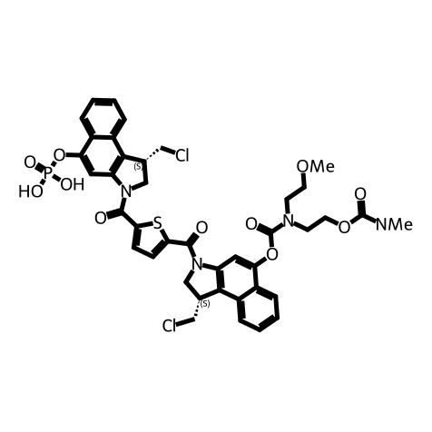 CNC(=O)OCCN(CCOC)C(=O)Oc1cc2c(c3ccccc13)[C@H](CCl)CN2C(=O)c1ccc(C(=O)N2C[C@@H](CCl)c3c2cc(OP(=O)(O)O)c2ccccc32)s1